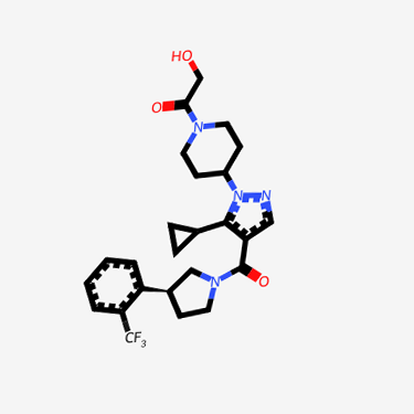 O=C(CO)N1CCC(n2ncc(C(=O)N3CC[C@@H](c4ccccc4C(F)(F)F)C3)c2C2CC2)CC1